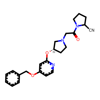 N#CC1CCCN1C(=O)CN1CC[C@H](Oc2cc(OCc3ccccc3)ccn2)C1